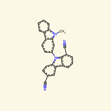 Cn1c2ccccc2c2ccc(-n3c4ccc(C#N)cc4c4cccc(C#N)c43)cc21